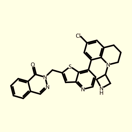 O=c1c2ccccc2cnn1Cc1cc2nccc(-c3cc(Cl)cc4c3N(C3CNC3)CCC4)c2s1